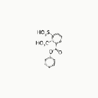 O=C(Oc1ccccc1)c1cccc(S(=O)(=O)O)c1C(=O)O